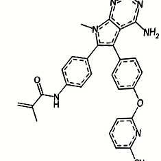 C=C(C)C(=O)Nc1ccc(-c2c(-c3ccc(Oc4cccc(C#N)n4)cc3)c3c(N)ncnc3n2C)cc1